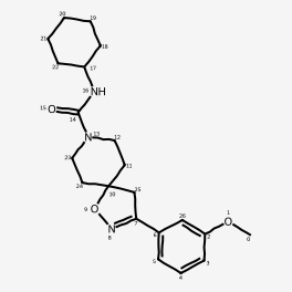 COc1cccc(C2=NOC3(CCN(C(=O)NC4CCCCC4)CC3)C2)c1